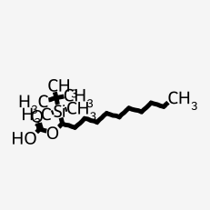 CCCCCCCCCCC(OC(=O)O)[Si](C)(C)C(C)(C)C